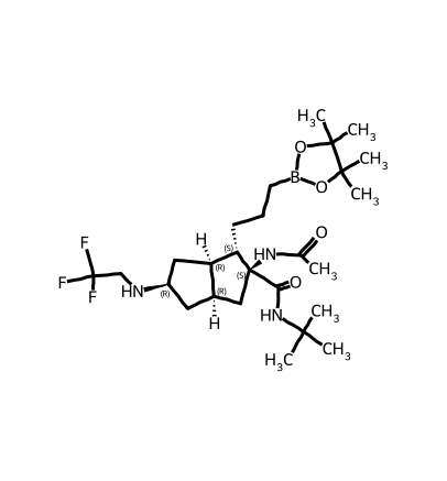 CC(=O)N[C@@]1(C(=O)NC(C)(C)C)C[C@H]2C[C@@H](NCC(F)(F)F)C[C@H]2[C@@H]1CCCB1OC(C)(C)C(C)(C)O1